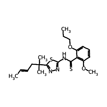 CC=CCC(C)(C)c1nnc(NC(=S)c2c(OC)cccc2OCCC)s1